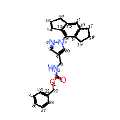 O=C(NCc1cnn(-c2c3c(cc4c2CCC4)CCC3)c1)OCc1ccccc1